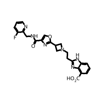 O=C(NCc1ncccc1F)c1coc(C2CN(CCc3nc4c(C(=O)O)cccc4[nH]3)C2)n1